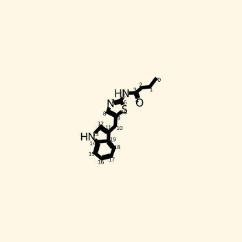 CCCC(=O)Nc1ncc(Cc2c[nH]c3ccccc23)s1